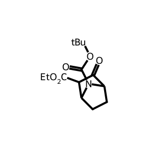 CCOC(=O)C1C(=O)C2CCC1N2C(=O)OC(C)(C)C